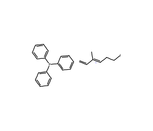 C=C/C(C)=C/CCI.c1ccc(P(c2ccccc2)c2ccccc2)cc1